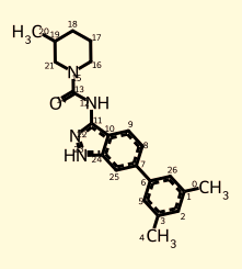 Cc1cc(C)cc(-c2ccc3c(NC(=O)N4CCCC(C)C4)n[nH]c3c2)c1